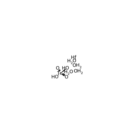 O.O.O.O.O=[Te](=O)(O)O.[Hf]